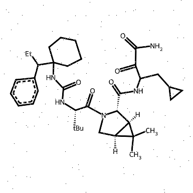 CCC(c1ccccc1)C1(NC(=O)N[C@H](C(=O)N2C[C@H]3[C@@H]([C@H]2C(=O)NC(CC2CC2)C(=O)C(N)=O)C3(C)C)C(C)(C)C)CCCCC1